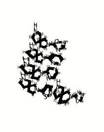 c1cc(N2CCC3(CCNC3)C2)sn1.c1cnc(N2CCC3(CCNC3)C2)cn1.c1cnnc(N2CCC3(CCNC3)C2)c1.c1nnc(N2CCC3(CCNC3)C2)o1.c1noc(N2CCC3(CCNC3)C2)n1